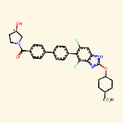 O=C(O)C1CCC(Oc2nc3c(F)c(-c4ccc(-c5ccc(C(=O)N6CC[C@@H](O)C6)cc5)cc4)c(F)cc3[nH]2)CC1